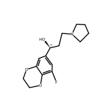 O[C@@H](CCN1CCCC1)c1cc(F)c2c(c1)OCCO2